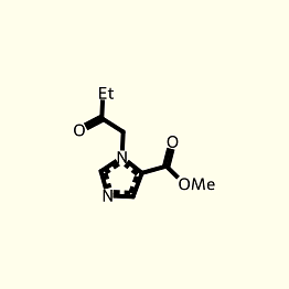 CCC(=O)Cn1cncc1C(=O)OC